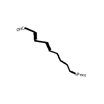 CCCCCCCCCC=CC=CC=O